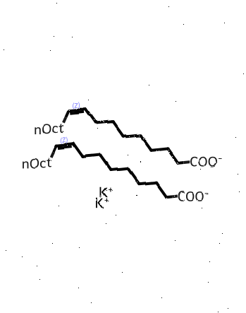 CCCCCCCC/C=C\CCCCCCCC(=O)[O-].CCCCCCCC/C=C\CCCCCCCC(=O)[O-].[K+].[K+]